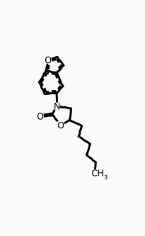 CCCCCCC1CN(c2ccc3occc3c2)C(=O)O1